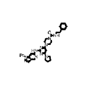 CC(C)n1ncc2cnc(Nc3nc(N4CCCC4)cc(N4CCN(C(=O)NCCc5ccccc5)CC4)n3)cc21